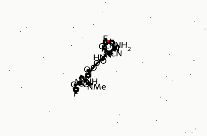 CN[C@H](C)C(=O)N[C@@H](C(=O)N1CCC[C@@H]1C1=NC(C(=O)c2ccc(F)cc2)CS1)C1CCN(C(=O)CCOCCOCCC(=O)NCCn2nc(C#N)c3c2CN(C)C(=O)c2ccc(F)cc2[C@H]2CCCN2c2cc-3cnc2N)CC1